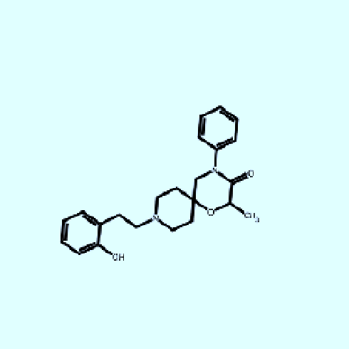 CC1OC2(CCN(CCc3ccccc3O)CC2)CN(c2ccccc2)C1=O